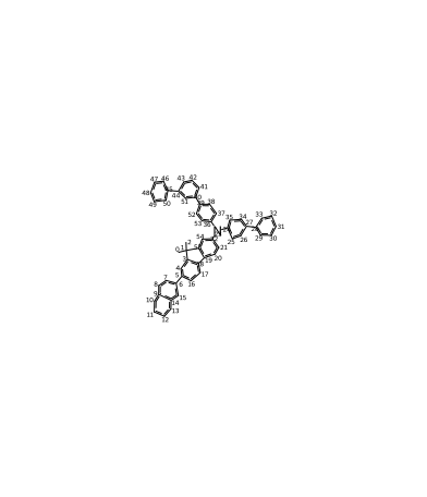 CC1(C)c2cc(-c3ccc4ccccc4c3)ccc2-c2ccc(N(c3ccc(-c4ccccc4)cc3)c3ccc(-c4cccc(-c5ccccc5)c4)cc3)cc21